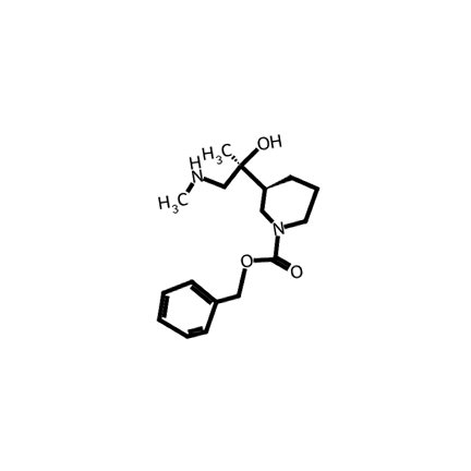 CNC[C@@](C)(O)[C@H]1CCCN(C(=O)OCc2ccccc2)C1